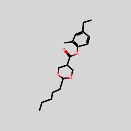 CCCCCC1OCC(C(=O)Oc2ccc(CC)cc2C)CO1